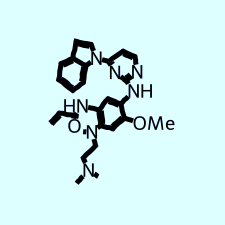 C=CC(=O)Nc1cc(Nc2nccc(-n3ccc4ccccc43)n2)c(OC)cc1N(C)CCN(C)C